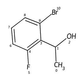 CC(O)c1c(F)cccc1Br